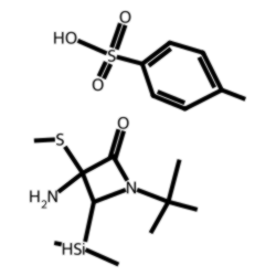 CSC1(N)C(=O)N(C(C)(C)C)C1[SiH](C)C.Cc1ccc(S(=O)(=O)O)cc1